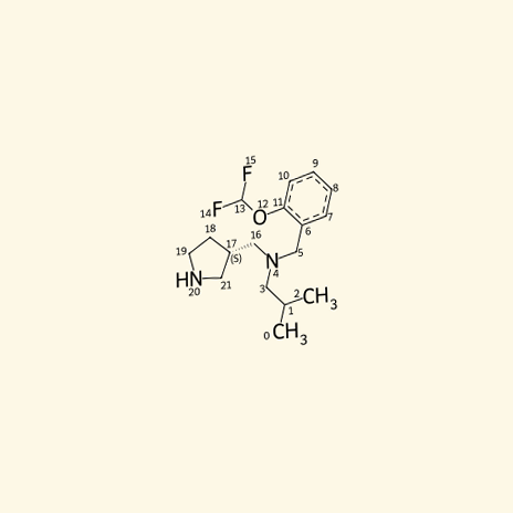 CC(C)CN(Cc1ccccc1OC(F)F)C[C@H]1CCNC1